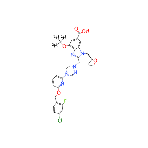 [2H]C([2H])([2H])Oc1cc(C(=O)O)cc2c1nc(CN1CCN(c3cccc(OCc4ccc(Cl)cc4F)n3)C=N1)n2C[C@@H]1CCO1